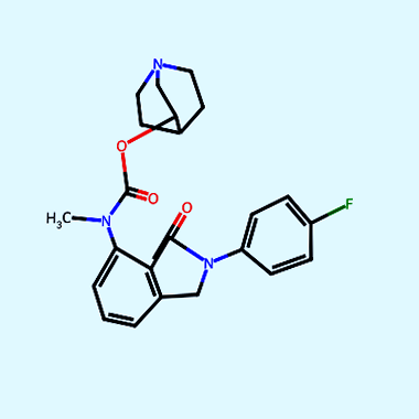 CN(C(=O)OC1CN2CCC1CC2)c1cccc2c1C(=O)N(c1ccc(F)cc1)C2